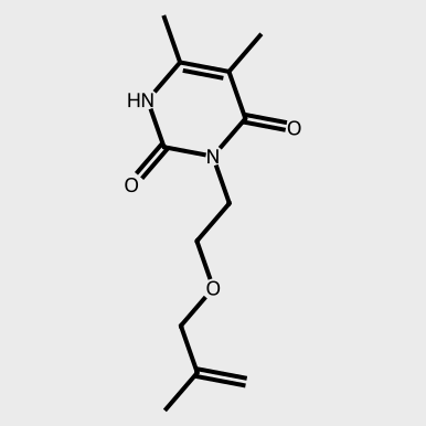 C=C(C)COCCn1c(=O)[nH]c(C)c(C)c1=O